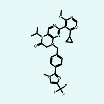 COc1ncnc(C2CC2)c1-c1ncc2c(n1)N(Cc1ccc(-c3nc(C(F)(F)F)cn3C)cc1)CC(=O)N2C(C)C